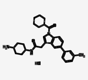 Cc1cccc(-c2ccc3c(c2)c(CC(=O)NC2CCC(N)CC2)cn3C(=O)C2CCCCC2)c1.Cl